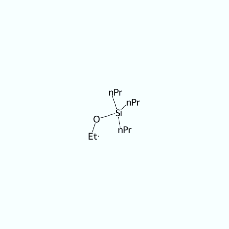 C[CH]O[Si](CCC)(CCC)CCC